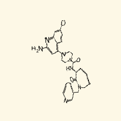 Nc1cc(N2CCN(C(=O)N[C@H]3CCCCN(Cc4cccnc4)C3=O)CC2)c2ccc(Cl)cc2n1